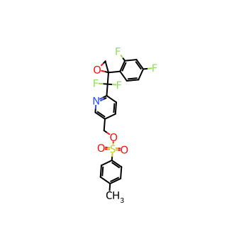 Cc1ccc(S(=O)(=O)OCc2ccc(C(F)(F)C3(c4ccc(F)cc4F)CO3)nc2)cc1